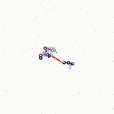 CNC(C)C(=O)NC(C(=O)N1Cc2cc(OCCOCCOCCOc3ccc(-c4ccc5c(c4)[nH]c4ccncc45)cn3)ccc2C[C@H]1C(=O)N[C@H]1CCCc2ccccc21)C1CCCCC1